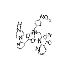 CC(C)OC(=O)c1cccnc1N1CCN(Cc2ccc([N+](=O)[O-])cc2)CC1.CC(C)OC(=O)c1cccnc1N1CCNCC1